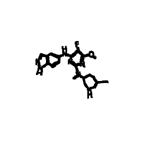 COc1nc(N(C)C2CCC(C)CNC2)nc(Nc2ccc3[nH]ncc3c2)c1F